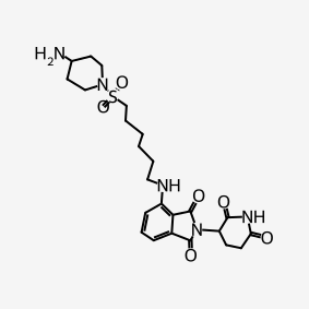 NC1CCN(S(=O)(=O)CCCCCCNc2cccc3c2C(=O)N(C2CCC(=O)NC2=O)C3=O)CC1